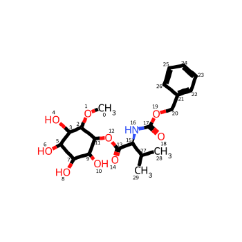 COC1C(O)C(O)C(O)C(O)C1OC(=O)[C@@H](NC(=O)OCc1ccccc1)C(C)C